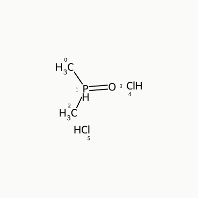 C[PH](C)=O.Cl.Cl